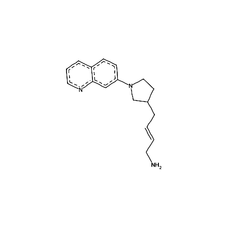 NCC=CCC1CCN(c2ccc3cccnc3c2)C1